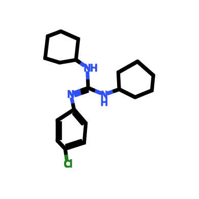 Clc1ccc(N=C(NC2CCCCC2)NC2CCCCC2)cc1